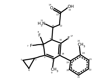 CC1=C(C2CC2)C(F)(F)C(C(N)CC(=O)O)C(F)=C1c1ccccc1C